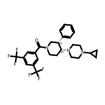 O=C(c1cc(C(F)(F)F)cc(C(F)(F)F)c1)N1CC[C@@H](N2CCN(C3CC3)CC2)[C@@H](c2ccccc2)C1